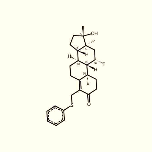 C[C@]12CCC(=O)C(CSc3ccccc3)=C1CC[C@@H]1[C@@H]2[C@@H](F)C[C@@]2(C)[C@H]1CC[C@]2(C)O